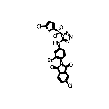 CCc1cc(Nc2nnnn2S(=O)(=O)c2ccc(Cl)s2)ccc1N1C(=O)c2ccc(Cl)cc2C1=O